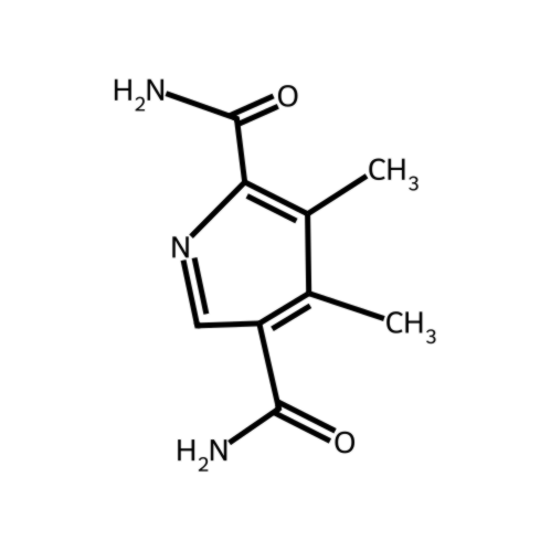 Cc1c(C(N)=O)cnc(C(N)=O)c1C